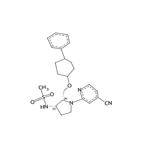 CS(=O)(=O)N[C@H]1CCN(c2cc(C#N)ccn2)[C@H]1COC1CCC(c2ccccc2)CC1